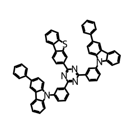 c1ccc(-c2ccc3c(c2)c2ccccc2n3-c2cccc(-c3nc(-c4cccc(-n5c6ccccc6c6cc(-c7ccccc7)ccc65)c4)nc(-c4ccc5c(c4)sc4ccccc45)n3)c2)cc1